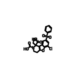 CCC1(C(=O)O)c2c(oc3c(Cl)cc(S(=O)(=O)c4ccccc4)cc23)CCN1C(=O)O